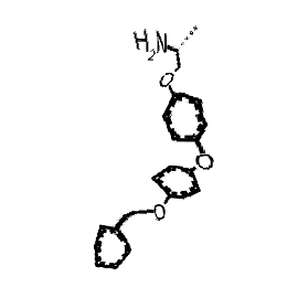 C[C@@H](N)COc1ccc(Oc2ccc(OCc3ccccc3)cc2)cc1